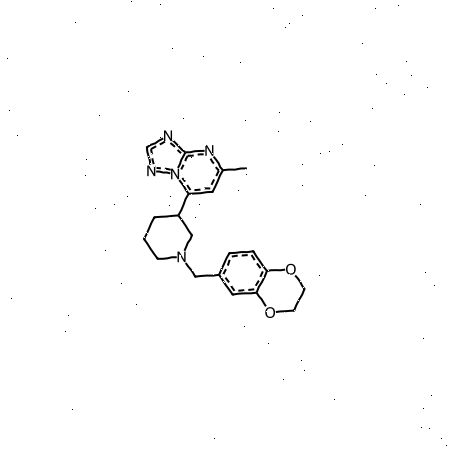 Cc1cc(C2CCCN(Cc3ccc4c(c3)OCCO4)C2)n2ncnc2n1